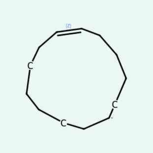 [CH]1CCCC/C=C\CCCCCC1